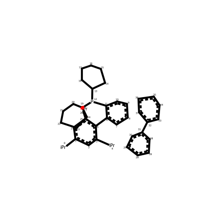 CC(C)c1cc(C(C)C)c(-c2ccccc2P(C2CCCCC2)C2CCCCC2)c(C(C)C)c1.c1ccc(-c2ccccc2)cc1